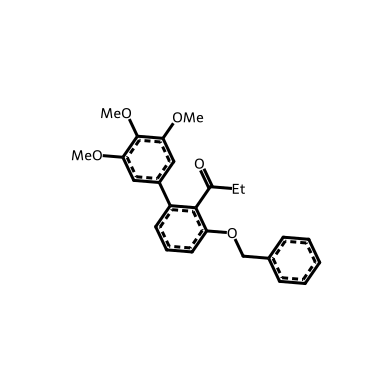 CCC(=O)c1c(OCc2ccccc2)cccc1-c1cc(OC)c(OC)c(OC)c1